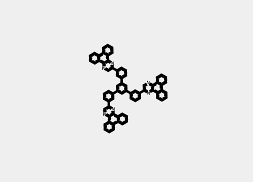 c1cc(-c2cc(-c3cccc(-c4cnc5c6ccccc6c6ccccc6c5n4)c3)cc(-c3cccc(-c4cnc5c6ccccc6c6ccccc6c5n4)c3)c2)cc(-c2cnc3c4ccccc4c4ccccc4c3n2)c1